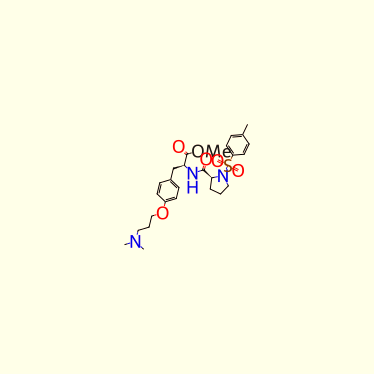 COC(=O)[C@H](Cc1ccc(OCCCN(C)C)cc1)NC(=O)[C@@H]1CCCN1S(=O)(=O)c1ccc(C)cc1